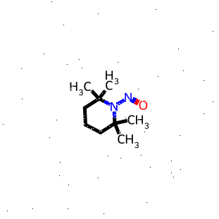 CC1(C)CCCC(C)(C)N1N=O